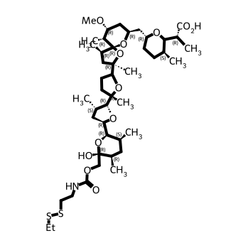 CCSSCCNC(=O)OC[C@]1(O)O[C@@H]([C@H]2C[C@H](C)[C@H]([C@]3(C)CCC([C@@]4(C)C[C@@H](C)[C@@]5(O[C@H](C[C@H]6CC[C@H](C)C([C@@H](C)C(=O)O)O6)C[C@@H](OC)[C@H]5C)O4)O3)O2)[C@@H](C)C[C@H]1C